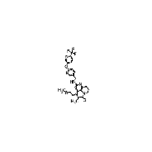 COCCN1c2nc(NCc3ccc(Oc4ccc(C(F)(F)F)nc4)nc3)nc3c2N(CCC3)C(=O)C1C